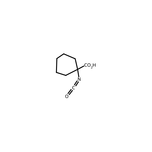 O=C=NC1(C(=O)O)CCCCC1